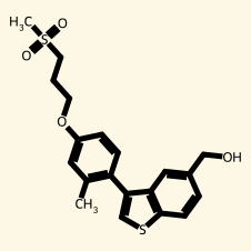 Cc1cc(OCCCS(C)(=O)=O)ccc1-c1csc2ccc(CO)cc12